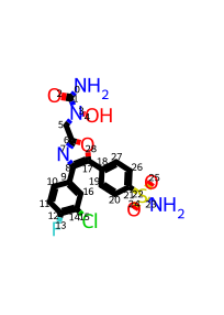 NC(=O)N(O)Cc1nc(-c2ccc(F)c(Cl)c2)c(-c2ccc(S(N)(=O)=O)cc2)o1